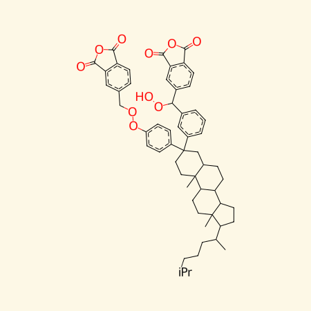 CC(C)CCCC(C)C1CCC2C3CCC4CC(c5ccc(OOCc6ccc7c(c6)C(=O)OC7=O)cc5)(c5cccc(C(OO)c6ccc7c(c6)C(=O)OC7=O)c5)CCC4(C)C3CCC12C